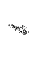 C[C@@H](CO)Oc1cc(Oc2ccc3c(c2)OCCNS3(=O)=O)cc(C(=O)Nc2ccn(C)n2)c1